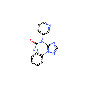 NC(=O)N(c1cccnc1)c1ncnn1-c1ccccc1